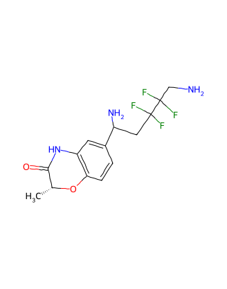 C[C@H]1Oc2ccc(C(N)CC(F)(F)C(F)(F)CN)cc2NC1=O